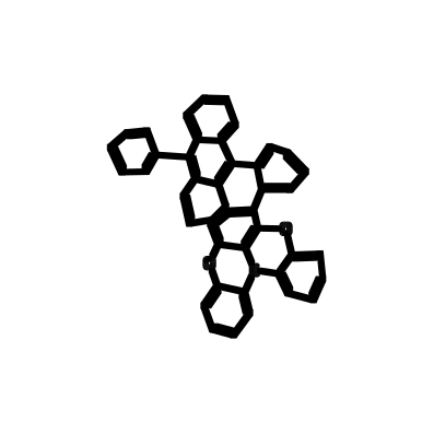 C1=C=C(c2ccccc2-c2c3c(c(-c4ccccc4)c4ccccc24)C=CCC3)C2=C3B(c4ccccc4OC=13)c1ccccc1O2